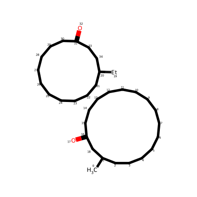 CC1CCCCCCCCCCCCCCC(=O)C1.CCC1CCCCCCCCCCC(=O)CC1